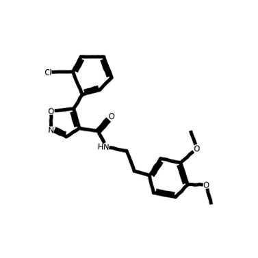 COc1ccc(CCNC(=O)c2cnoc2-c2ccccc2Cl)cc1OC